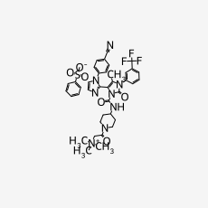 Cc1c(-c2nccn2-c2ccc(C#N)cc2)n(C(=O)NC2CCN(C(=O)C[N+](C)(C)C)CC2)c(=O)n1-c1cccc(C(F)(F)F)c1.O=S(=O)([O-])c1ccccc1